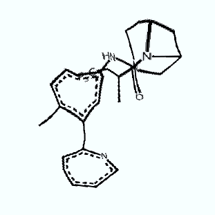 Cc1ccc(NC(=O)N2C3CC2CN(C(C)C(F)(F)F)C3)cc1-c1ccccn1